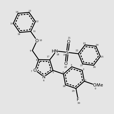 COc1ccc(-c2noc(COc3ccccc3)c2NS(=O)(=O)c2ccccc2)cc1F